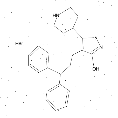 Br.Oc1nsc(C2CCNCC2)c1CCC(c1ccccc1)c1ccccc1